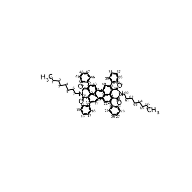 CCCCCCCCN1C(=O)c2c(-c3ccccc3)cc3c4cc(-c5ccccc5)c5c6c(c(-c7ccccc7)cc(c7cc(-c8ccccc8)c(c2c37)C1=O)c64)C(=O)N(CCCCCCCC)C5=O